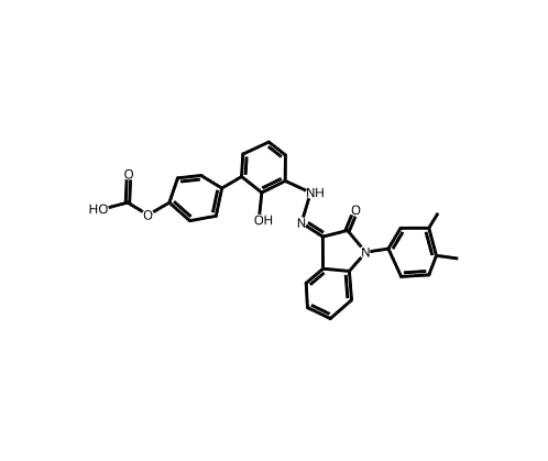 Cc1ccc(N2C(=O)C(=NNc3cccc(-c4ccc(OC(=O)O)cc4)c3O)c3ccccc32)cc1C